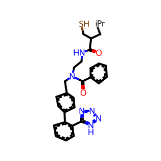 CC(C)CC(CS)C(=O)NCCN(Cc1ccc(-c2ccccc2-c2nnn[nH]2)cc1)C(=O)c1ccccc1